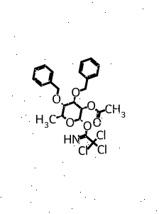 CC(=O)O[C@H]1[C@H](OC(=N)C(Cl)(Cl)Cl)O[C@@H](C)[C@H](OCc2ccccc2)[C@H]1OCc1ccccc1